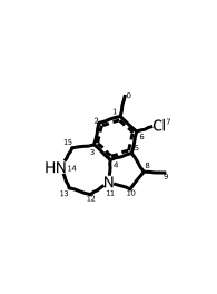 Cc1cc2c3c(c1Cl)C(C)CN3CCNC2